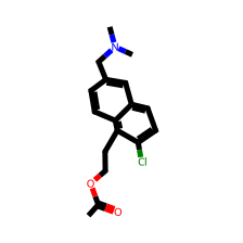 CC(=O)OCCc1c(Cl)ccc2cc(CN(C)C)ccc12